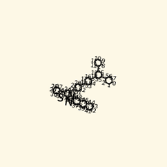 c1ccc(-c2cc(-c3ccccc3)cc(-c3ccc(-c4ccc(-c5cc6c7ccccc7sc6c6nc7cc8cc9ccccc9cc8cc7n56)cc4)cc3)c2)cc1